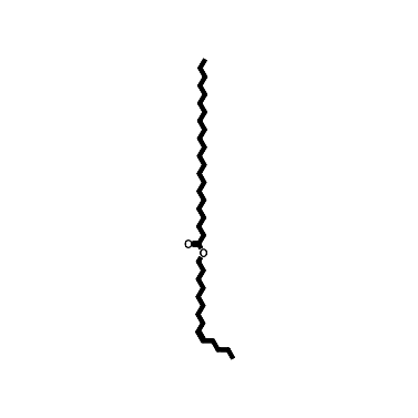 CCCC/C=C\CCCCCCCCOC(=O)CCCCCCCCCCCCCCCCCCCCC